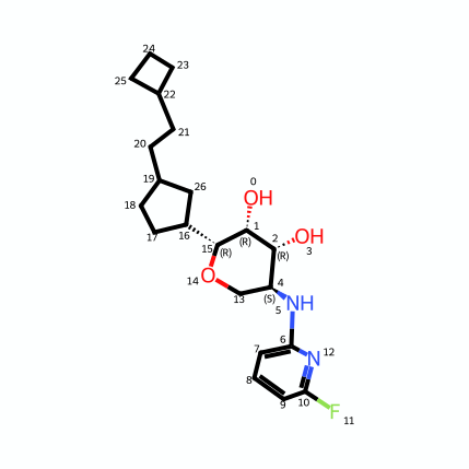 O[C@@H]1[C@H](O)[C@@H](Nc2cccc(F)n2)CO[C@@H]1C1CCC(CCC2CCC2)C1